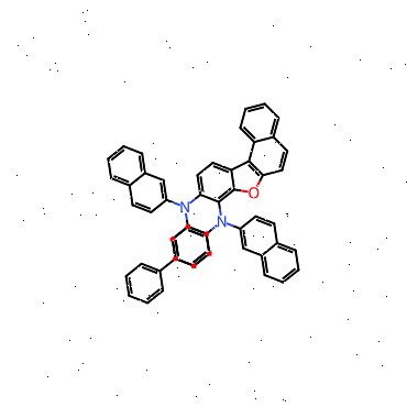 c1ccc(-c2ccc(N(c3ccc4ccccc4c3)c3c(N(c4ccccc4)c4ccc5ccccc5c4)ccc4c3oc3ccc5ccccc5c34)cc2)cc1